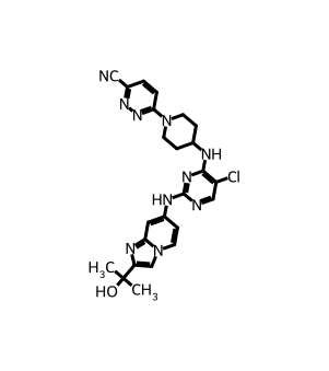 CC(C)(O)c1cn2ccc(Nc3ncc(Cl)c(NC4CCN(c5ccc(C#N)nn5)CC4)n3)cc2n1